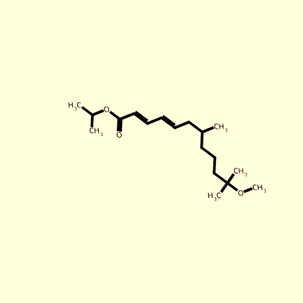 COC(C)(C)CCCC(C)C/C=C/C=C/C(=O)OC(C)C